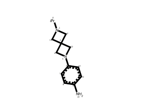 CC(C)N1CC2(CN(c3ccc(N)cc3)C2)C1